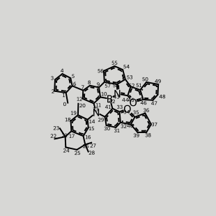 Cc1ccccc1-c1cc2c3c(c1)N(c1cc4c(cc1C)C(C)(C)CCC4(C)C)c1ccc4c(oc5ccccc54)c1B3n1c3oc4ccccc4c3c3cccc-2c31